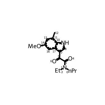 CCCN(CC)C(=O)C(=O)c1c[nH]c2c(C)cc(OC)cc12